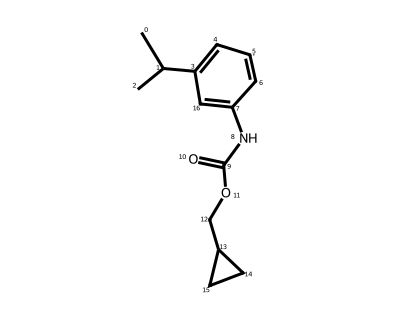 CC(C)c1c[c]cc(NC(=O)OCC2CC2)c1